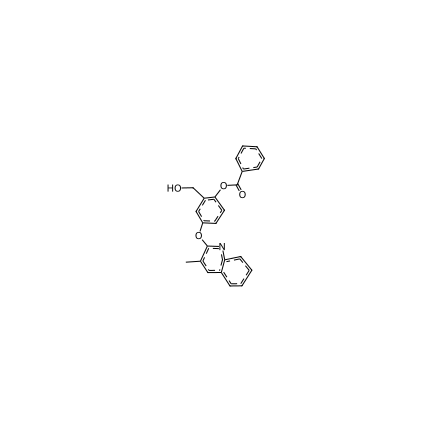 Cc1cc2ccccc2nc1Oc1ccc(OC(=O)c2ccccc2)c(CO)c1